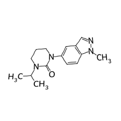 CC(C)N1CCCN(c2ccc3c(cnn3C)c2)C1=O